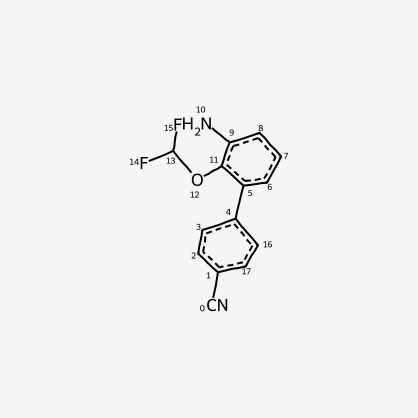 N#Cc1ccc(-c2cccc(N)c2OC(F)F)cc1